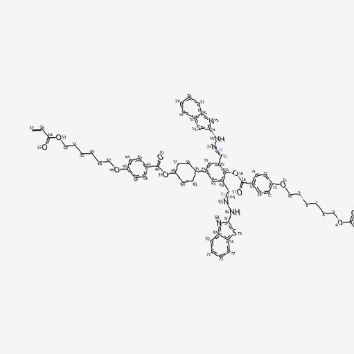 C=CC(=O)OCCCCCCOc1ccc(C(=O)Oc2c(/C=N/Nc3nc4ccccc4s3)cc(C3CCC(OC(=O)c4ccc(OCCCCCCOC(=O)C=C)cc4)CC3)cc2/C=N/Nc2nc3ccccc3s2)cc1